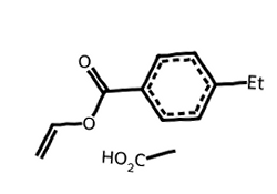 C=COC(=O)c1ccc(CC)cc1.CC(=O)O